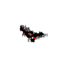 CCn1nnc(CCNc2nc(NC3CCN(C(=O)N4CCC(Nc5nc(NCCc6nnn(CC)n6)nc6c5ncn6[C@@H]5C[C@H](n6ncc(CO)n6)[C@@H](O)[C@H]5O)CC4)CC3)c3ncn([C@@H]4C[C@H](n5ncc(CO)n5)[C@@H](O)[C@H]4O)c3n2)n1